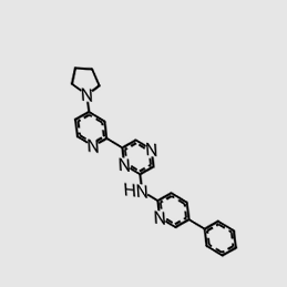 c1ccc(-c2ccc(Nc3cncc(-c4cc(N5CCCC5)ccn4)n3)nc2)cc1